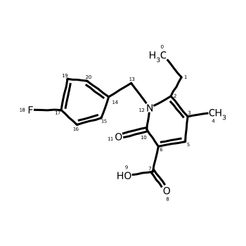 CCc1c(C)cc(C(=O)O)c(=O)n1Cc1ccc(F)cc1